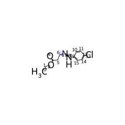 CCOC(=O)C/C=N\Nc1ccc(Cl)cc1